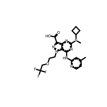 Cc1ccnc(Nc2nc(N(C)C3CCC3)nc3c(C(=O)O)nn(CCOCC(F)(F)F)c23)c1